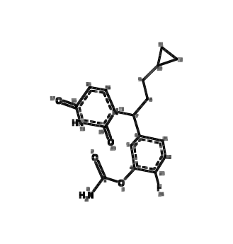 NC(=O)Oc1cc(C(CCC2CC2)n2ccc(=O)[nH]c2=O)ccc1F